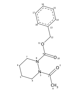 CC(=O)N1CCCCN1C(=O)OCc1ccccc1